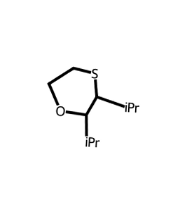 CC(C)C1OCCSC1C(C)C